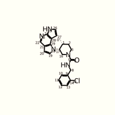 C[C@@H]1CCN(C(=O)NCc2ccccc2Cl)C[C@@H]1n1ccc2cnc3[nH]ccc3c21